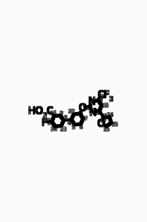 O=C(O)c1cc(-c2cccc(Oc3nc(-c4ccco4)cc(C(F)(F)F)n3)c2)ccc1F